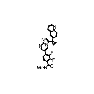 CNC(=O)c1ccc(-c2cnc3ncc(C4(c5ccc6ncccc6c5)C=C4)n3c2)c(F)c1F